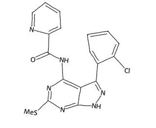 CSc1nc(NC(=O)c2ccccn2)c2c(-c3ccccc3Cl)n[nH]c2n1